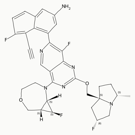 C#Cc1c(F)ccc2cc(N)cc(-c3ncc4c(N5CCOC[C@H]6[C@H](F)[C@H]65)nc(OC[C@@]56CC[C@H](C)N5C[C@H](F)C6)nc4c3F)c12